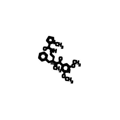 COc1cc(C(=O)N(C)[C@H](CCNC(=O)c2cccn2C)Cc2ccccc2)cc(OC)n1